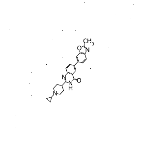 Cc1nc2ccc(-c3ccc4nc(C5CCN(C6CC6)CC5)[nH]c(=O)c4c3)cc2o1